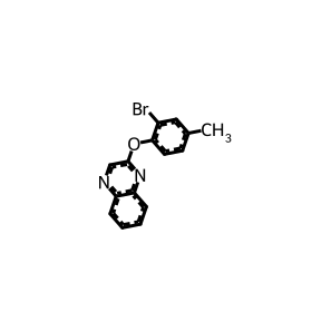 Cc1ccc(Oc2cnc3ccccc3n2)c(Br)c1